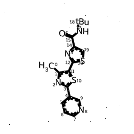 Cc1nc(-c2cccnc2)sc1-c1nc(C(=O)NC(C)(C)C)cs1